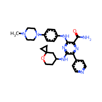 CN1CCN(c2ccc(Nc3nc(NC4CCOC5(CC5)C4)c(-c4ccncc4)nc3C(N)=O)cc2)CC1